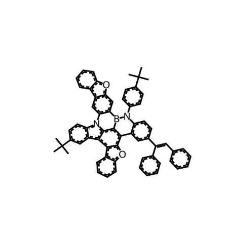 CC(C)(C)c1ccc(N2B3c4cc5oc6ccccc6c5cc4-n4c5ccc(C(C)(C)C)cc5c5c6c(oc7ccccc76)c(c3c54)-c3cc(/C(=C/c4ccccc4)c4ccccc4)ccc32)cc1